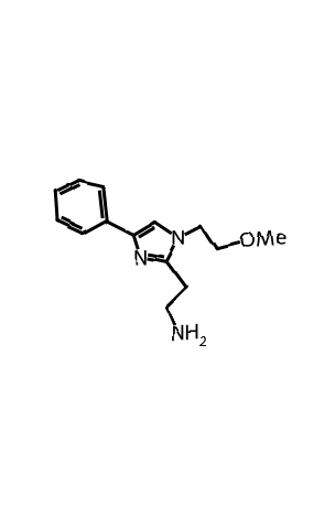 COCCn1cc(-c2ccccc2)nc1CCN